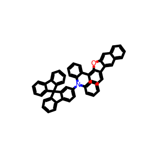 c1ccc(N(c2ccc3c(c2)C2(c4ccccc4-c4ccccc42)c2ccccc2-3)c2ccccc2-c2cccc3c2oc2cc4ccccc4cc23)cc1